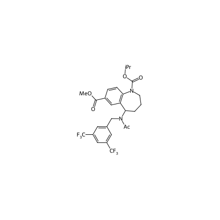 COC(=O)c1ccc2c(c1)C(N(Cc1cc(C(F)(F)F)cc(C(F)(F)F)c1)C(C)=O)CCCN2C(=O)OC(C)C